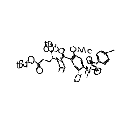 COc1cc(N(C)S(=O)(=O)c2ccc(C)cc2)c(Cl)cc1C(=O)N[C@@H](CCC(=O)OC(C)(C)C)C(=O)OC(C)(C)C